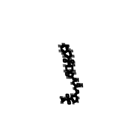 O=S(=O)(c1cccc(OCC(O)CN[C@H]2COC3(CCN(S(=O)(=O)c4ccc5ncccc5c4)CC3)C2)c1)C1CC1